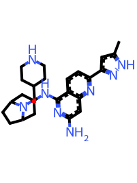 Cc1cc(-c2ccc3c(NC4CC5CCC(C4)N5CC4CCNCC4)nc(N)cc3n2)n[nH]1